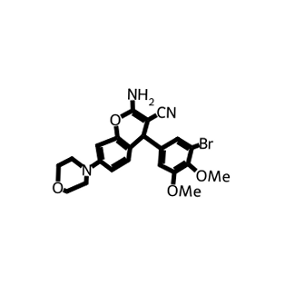 COc1cc(C2C(C#N)=C(N)Oc3cc(N4CCOCC4)ccc32)cc(Br)c1OC